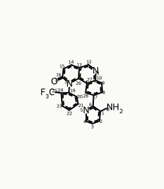 Nc1cccnc1-c1ccc2ncc3ccc(=O)n(-c4ccccc4C(F)(F)F)c3c2c1